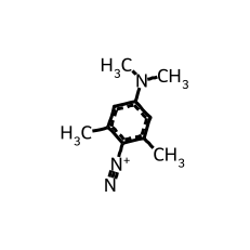 Cc1cc(N(C)C)cc(C)c1[N+]#N